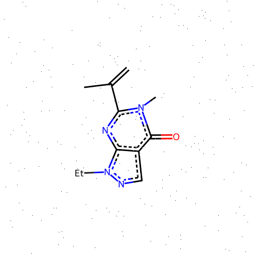 C=C(C)c1nc2c(cnn2CC)c(=O)n1C